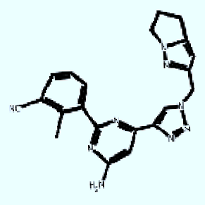 Cc1c(C#N)cccc1-c1nc(N)cc(-c2cn(Cc3cc4n(n3)CCC4)nn2)n1